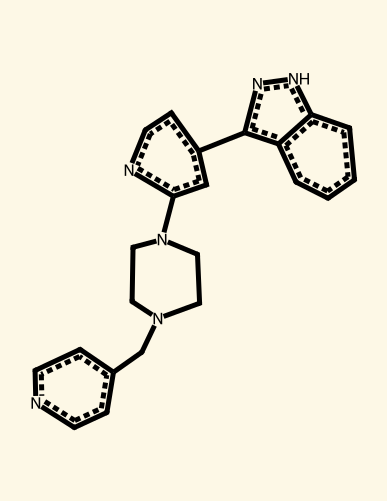 c1ccc2c(-c3ccnc(N4CCN(Cc5ccncc5)CC4)c3)n[nH]c2c1